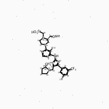 COC[C@H]1CN(c2ncnc(Nc3nc(-c4cc(F)cc(C(F)(F)F)c4)c(CN4CCC[C@H]4C)s3)c2F)CCN1CC(=O)O